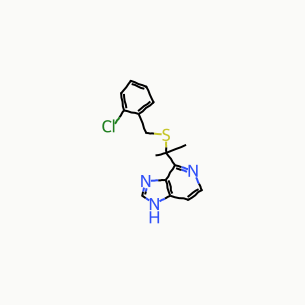 CC(C)(SCc1ccccc1Cl)c1nccc2[nH]cnc12